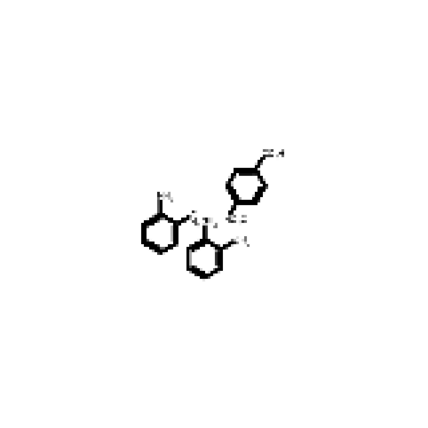 Cc1ccccc1N.Cc1ccccc1N.O=C(O)c1ccc(C(=O)O)cc1